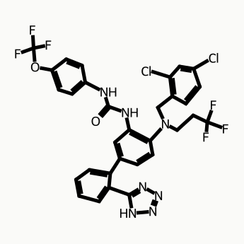 O=C(Nc1ccc(OC(F)(F)F)cc1)Nc1cc(-c2ccccc2-c2nnn[nH]2)ccc1N(CCC(F)(F)F)Cc1ccc(Cl)cc1Cl